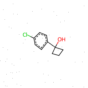 OC1(c2ccc(Cl)cc2)CCC1